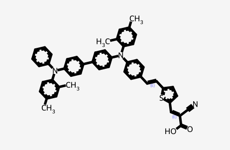 Cc1ccc(N(c2ccccc2)c2ccc(-c3ccc(N(c4ccc(/C=C/c5ccc(/C=C(\C#N)C(=O)O)s5)cc4)c4ccc(C)cc4C)cc3)cc2)c(C)c1